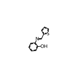 Oc1ccccc1N=Cc1cccs1